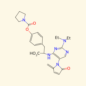 C=C1C=CC(=O)N1c1cnc(N(CC)CC)nc1NC(Cc1ccc(OC(=O)N2CCCC2)cc1)C(=O)O